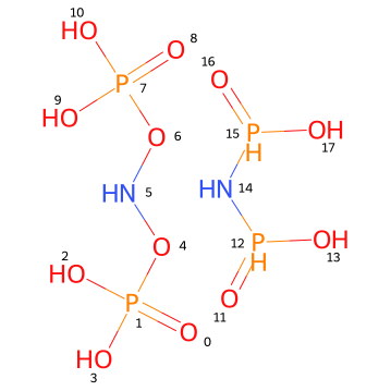 O=P(O)(O)ONOP(=O)(O)O.O=[PH](O)N[PH](=O)O